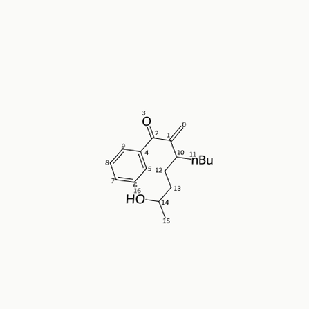 C=C(C(=O)c1ccccc1)C(CCCC)CCC(C)O